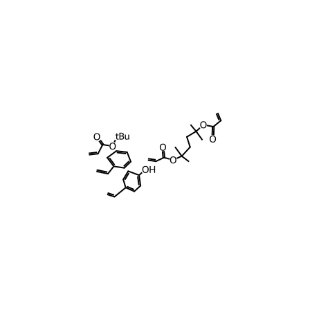 C=CC(=O)OC(C)(C)C.C=CC(=O)OC(C)(C)CCC(C)(C)OC(=O)C=C.C=Cc1ccc(O)cc1.C=Cc1ccccc1